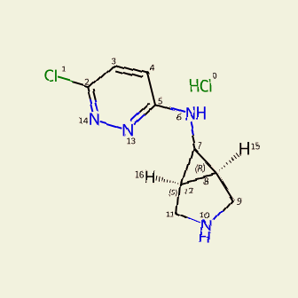 Cl.Clc1ccc(NC2[C@H]3CNC[C@@H]23)nn1